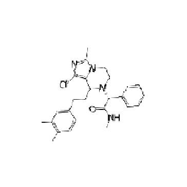 CNC(=O)[C@@H](c1ccccc1)N1CCn2c(C)nc(Cl)c2C1CCc1ccc(C)c(C)c1